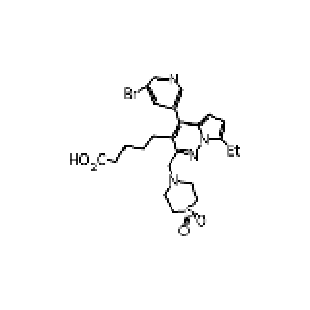 CCc1ccc2c(-c3cncc(Br)c3)c(CCCCC(=O)O)c(CN3CCS(=O)(=O)CC3)nn12